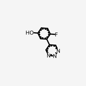 Oc1ccc(F)c(-c2cnnnc2)c1